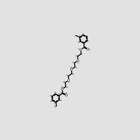 Cc1cccc(C(=O)OCCOCCOCCOCCOC(=O)c2cccc(C)c2)c1